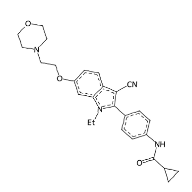 CCn1c(-c2ccc(NC(=O)C3CC3)cc2)c(C#N)c2ccc(OCCN3CCOCC3)cc21